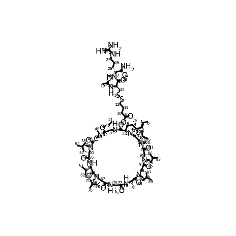 C/C=C/C[C@@H](C)[C@@H](OC(=O)CCCSSC[C@@H](NC(C)=O)C(=O)N[C@H](CCCNC(=N)N)C(N)=O)[C@H]1C(=O)N[C@@H](CC)C(=O)N(C)CC(=O)N(C)[C@@H](CC(C)C)C(=O)N[C@@H](C(C)C)C(=O)N(C)[C@@H](CC(C)C)C(=O)N[C@@H](C)C(=O)N[C@@H](C)C(=O)N(C)[C@@H](CC(C)C)C(=O)N(C)[C@@H](CC(C)C)C(=O)N(C)[C@@H](C(C)C)C(=O)N1C